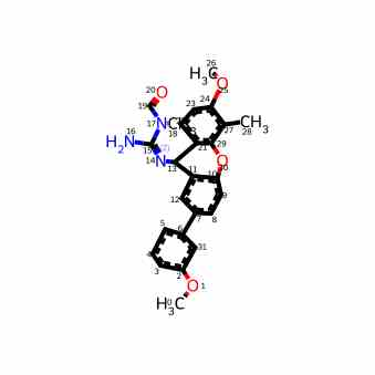 COc1cccc(-c2ccc3c(c2)C(/N=C(/N)N(C)C=O)c2ccc(OC)c(C)c2O3)c1